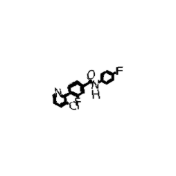 O=C(Nc1ccc(F)cc1)c1ccc(-c2ncccc2Cl)c(F)c1